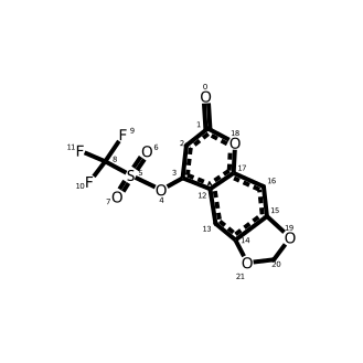 O=c1cc(OS(=O)(=O)C(F)(F)F)c2cc3c(cc2o1)OCO3